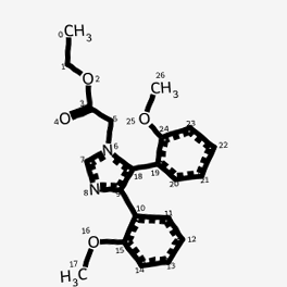 CCOC(=O)Cn1cnc(-c2ccccc2OC)c1-c1ccccc1OC